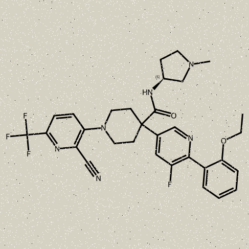 CCOc1ccccc1-c1ncc(C2(C(=O)N[C@H]3CCN(C)C3)CCN(c3ccc(C(F)(F)F)nc3C#N)CC2)cc1F